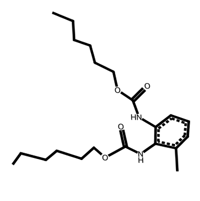 CCCCCCOC(=O)Nc1cccc(C)c1NC(=O)OCCCCCC